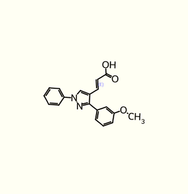 COc1cccc(-c2nn(-c3ccccc3)cc2/C=C/C(=O)O)c1